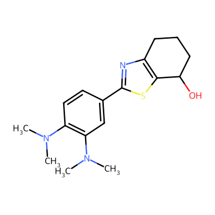 CN(C)c1ccc(-c2nc3c(s2)C(O)CCC3)cc1N(C)C